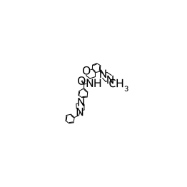 CN1CCN(c2cccc3c2C[C@H](NC(=O)c2ccc(N4CCN(Cc5ccccc5)CC4)cc2)CO3)CC1